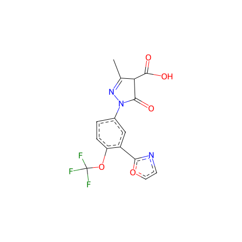 CC1=NN(c2ccc(OC(F)(F)F)c(-c3ncco3)c2)C(=O)C1C(=O)O